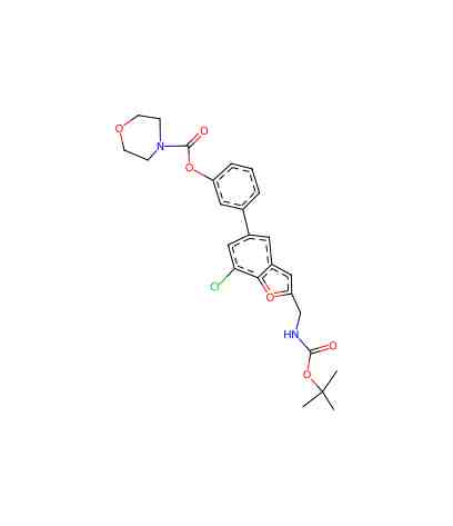 CC(C)(C)OC(=O)NCc1cc2cc(-c3cccc(OC(=O)N4CCOCC4)c3)cc(Cl)c2o1